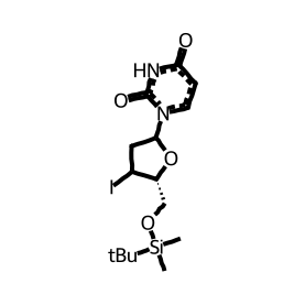 CC(C)(C)[Si](C)(C)OC[C@H]1OC(n2ccc(=O)[nH]c2=O)CC1I